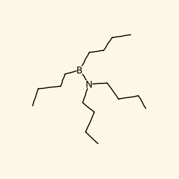 CCCCB(CCCC)N(CCCC)CCCC